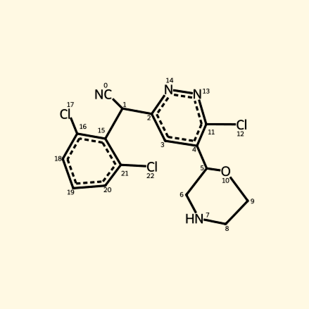 N#CC(c1cc(C2CNCCO2)c(Cl)nn1)c1c(Cl)cccc1Cl